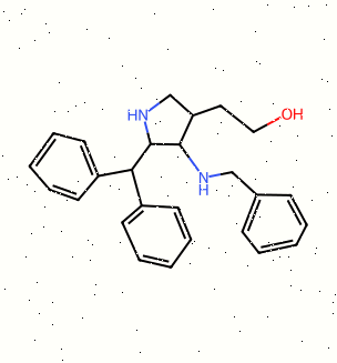 OCCC1CNC(C(c2ccccc2)c2ccccc2)C1NCc1ccccc1